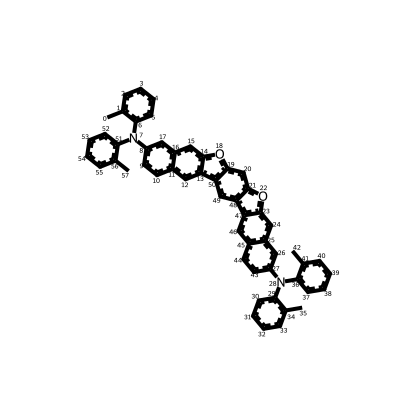 Cc1ccccc1N(c1ccc2cc3c(cc2c1)oc1cc2oc4cc5cc(N(c6ccccc6C)c6ccccc6C)ccc5cc4c2cc13)c1ccccc1C